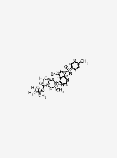 Cc1ccc(S(=O)(=O)n2cc(Br)c3c(N4C[C@@H](C)N(C(=O)OC(C)(C)C)C[C@@H]4C)ncnc32)cc1